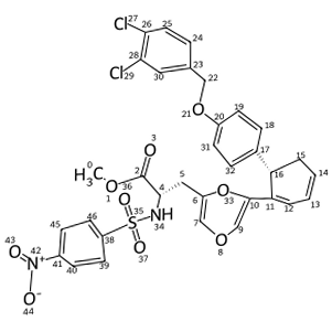 COC(=O)[C@H](CC1=COC=C(C2=CC=CC[C@H]2c2ccc(OCc3ccc(Cl)c(Cl)c3)cc2)O1)NS(=O)(=O)c1ccc([N+](=O)[O-])cc1